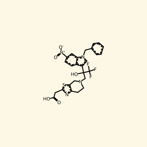 O=C(O)Cc1nc2c(s1)CN(CC(O)(c1cn(Cc3ccccc3)c3cc([N+](=O)[O-])ccc13)C(F)(F)F)CC2